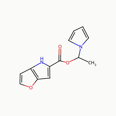 CC(OC(=O)c1cc2occc2[nH]1)n1cccc1